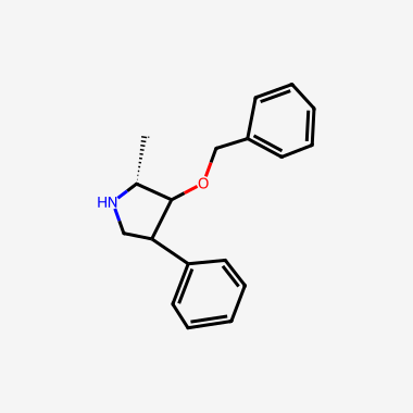 [CH2][C@H]1NCC(c2ccccc2)C1OCc1ccccc1